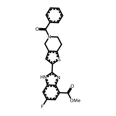 COC(=O)c1cc(F)cc2[nH]c(-c3cc4c(s3)CCN(C(=O)c3ccccc3)C4)nc12